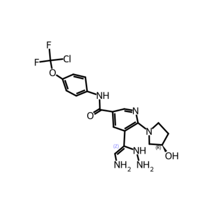 N/C=C(\NN)c1cc(C(=O)Nc2ccc(OC(F)(F)Cl)cc2)cnc1N1CC[C@@H](O)C1